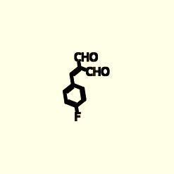 O=CC(C=O)=Cc1ccc(F)cc1